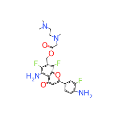 CN(C)CCN(C)CC(=O)OCc1c(F)c(N)c2c(=O)cc(-c3ccc(N)c(F)c3)oc2c1F